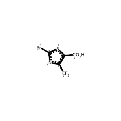 O=C(O)c1sc(Br)nc1C(F)(F)F